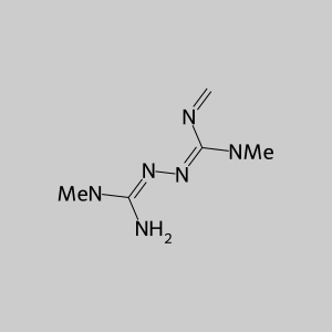 C=N/C(=N\N=C(/N)NC)NC